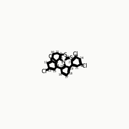 S=c1sc2c(n1-c1c(-c3cc(Cl)cc(Cl)c3)cccc1-c1cc(Cl)cc(Cl)c1)CCCC2